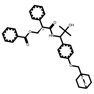 CC(C)(O)C(NC(=O)[C@@H](COC(=O)c1ccccc1)c1ccccc1)c1ccc(OCC23CCC(CC2)CC3)cc1